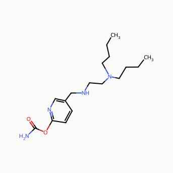 CCCCN(CCCC)CCNCc1ccc(OC(N)=O)nc1